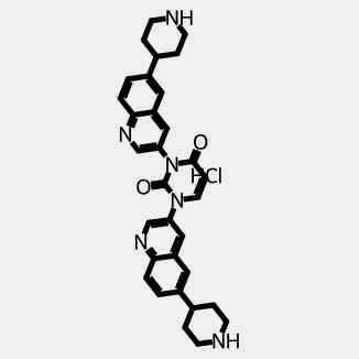 Cl.O=c1ccn(-c2cnc3ccc(C4CCNCC4)cc3c2)c(=O)n1-c1cnc2ccc(C3CCNCC3)cc2c1